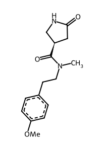 COc1ccc(CCN(C)C(=O)[C@H]2CNC(=O)C2)cc1